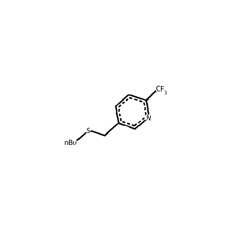 CCCCSCc1ccc(C(F)(F)F)nc1